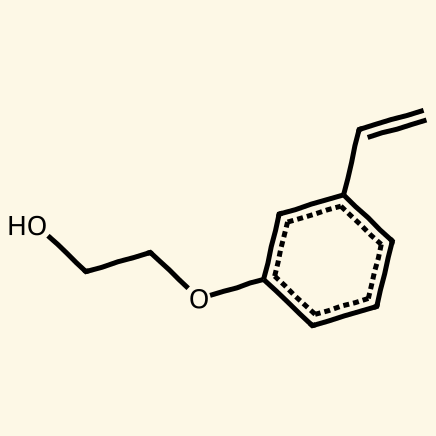 C=Cc1cccc(OCCO)c1